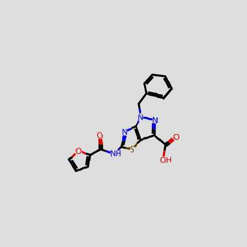 O=C(Nc1nc2c(s1)c(C(=O)O)nn2Cc1ccccc1)c1ccco1